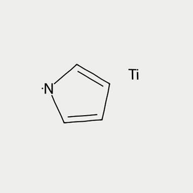 C1=C[N]C=C1.[Ti]